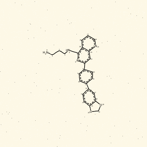 NCCCNc1nc(-c2ccc(-c3ccc4c(c3)OCO4)cc2)cc2ncccc12